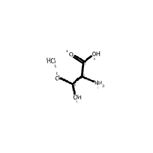 Cl.NC(C(=O)O)C(O)Cl